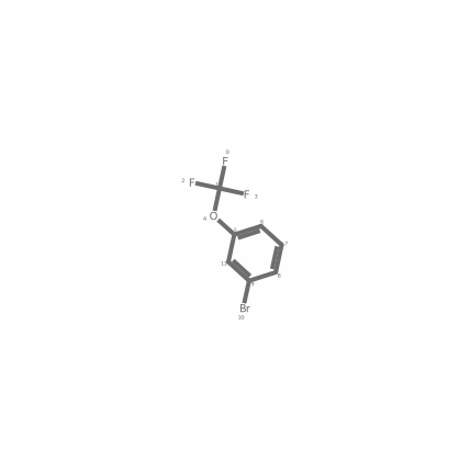 FC(F)(F)Oc1c[c]cc(Br)c1